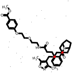 COC(=O)c1ccc(OCCOCCNC(=O)CCc2ccccc2C2CC3CCC(C2)N3C(=O)CSCc2c(C)noc2C)cc1